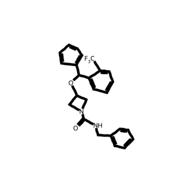 O=C(NCc1ccccc1)N1CC(OC(c2ccccc2)c2ccccc2C(F)(F)F)C1